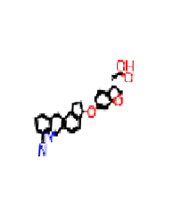 N#Cc1cccc(Cc2c(C#N)ccc3c2CC[C@H]3Oc2ccc3c(c2)OC[C@H]3CC(=O)O)c1